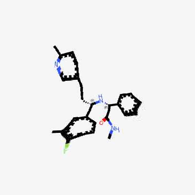 CNC(=O)[C@H](N[C@@H](CCc1ccc(C)nc1)c1ccc(F)c(C)c1)c1ccccc1